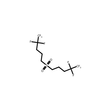 O=S(=O)(CCCC(F)(F)C(F)(F)F)CCCC(F)(F)C(F)(F)F